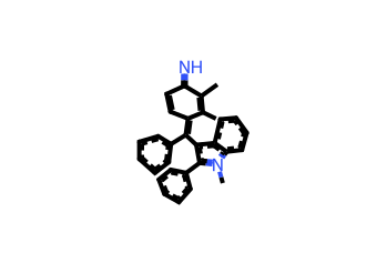 CC1=C(C)C(=C(c2ccccc2)c2c(-c3ccccc3)n(C)c3ccccc23)C=CC1=N